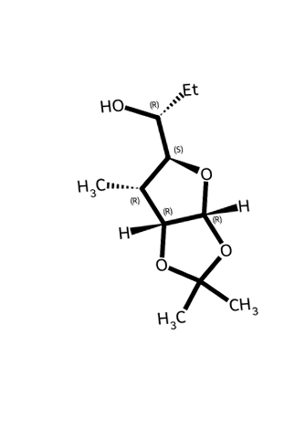 CC[C@@H](O)[C@H]1O[C@@H]2OC(C)(C)O[C@@H]2[C@@H]1C